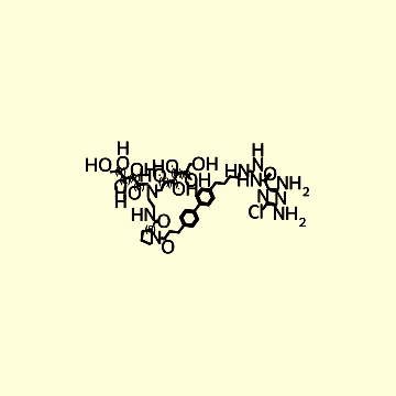 N=C(NCCCCc1ccc(-c2ccc(CCC(=O)N3CCC[C@H]3C(=O)NCCN(C[C@H](O)[C@@H](O)[C@H](O)[C@H](O)CO)C[C@H](O)[C@@H](O)[C@H](O)[C@H](O)CO)cc2)cc1)NC(=O)c1nc(Cl)c(N)nc1N